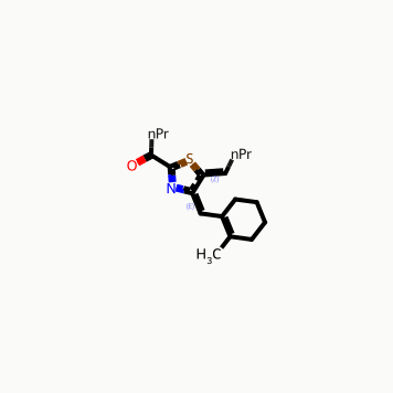 CCC/C=c1\sc(C(=O)CCC)n\c1=C\C1=C(C)CCCC1